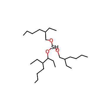 CCCCC(CC)CO[SiH](OCC(CC)CCCC)OC(CC)C(CC)CCCC